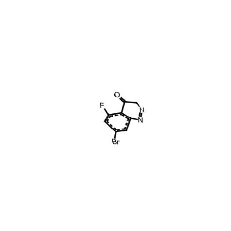 O=C1CN=Nc2cc(Br)cc(F)c21